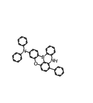 c1ccc(-c2ccc3c4c2Nc2ccccc2B4c2ccc(N(c4ccccc4)c4ccccc4)cc2O3)cc1